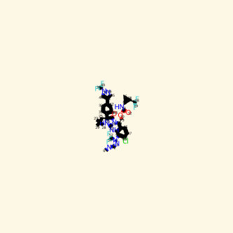 C=N/C=N\N(c1cc([C@@H](COC(=O)N[C@@H]2C[C@H]2C(F)F)N2C(=N)N[C@](CC(C)(C)C)(c3ccc(-c4cnn(C(F)F)c4)cc3)C2=O)ccc1Cl)C(F)F